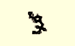 COS(=O)(=O)Cc1ccn(CC(F)(F)F)n1